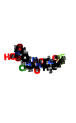 CC1(C(=O)N2CCC(O)(Cn3cnc4c(cc(Cl)n4-c4ccc([C@H]5COCCN5C(=O)O)cc4)c3=O)CC2)CC1C(F)(F)F